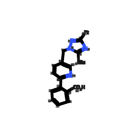 CCCCc1nc(CC)nn1Cc1ccc(-c2ccccc2C(=O)O)nc1